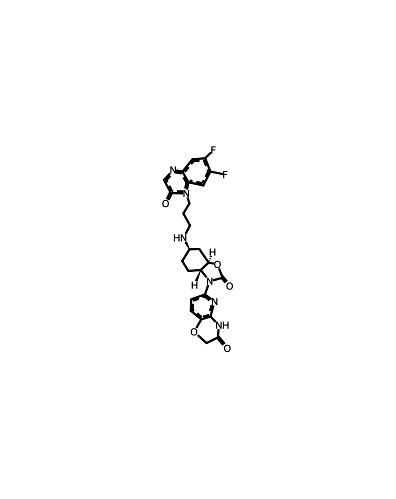 O=C1COc2ccc(N3C(=O)O[C@@H]4C[C@H](NCCCn5c(=O)cnc6cc(F)c(F)cc65)CC[C@H]43)nc2N1